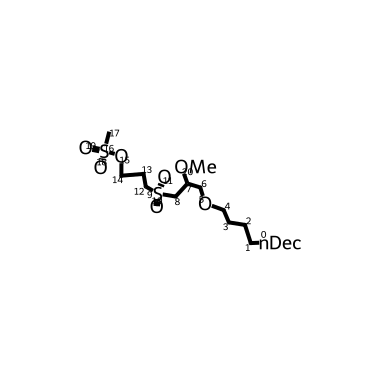 CCCCCCCCCCCCCCOCC(CS(=O)(=O)CCCOS(C)(=O)=O)OC